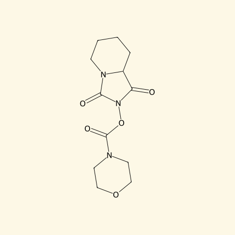 O=C(ON1C(=O)C2CCCCN2C1=O)N1CCOCC1